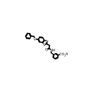 O=C(Cc1nc2ccc(OCc3ccccc3)cc2s1)NCc1cccc(C(=O)O)c1